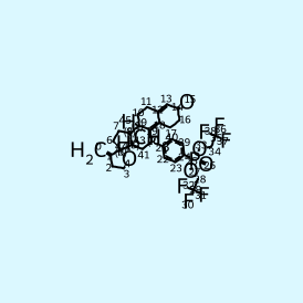 C=C1CCO[C@]12CC[C@H]1[C@@H]3CCC4=CC(=O)CCC4=C3[C@@H](c3ccc(P(=O)(OCC(F)(F)F)OCC(F)(F)F)cc3)C[C@@]12C